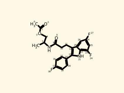 CC(=O)OCC(C)NC(=O)CCc1c(-c2ccc(F)cc2)[nH]c2c(F)cc(F)cc12